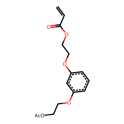 C=CC(=O)OCCOc1cccc(OCCOC(C)=O)c1